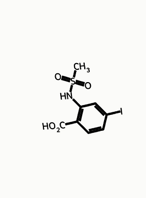 CS(=O)(=O)Nc1cc(I)ccc1C(=O)O